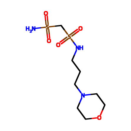 NS(=O)(=O)CS(=O)(=O)NCCCN1CCOCC1